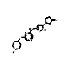 CN1CCC(Oc2cncc(Nc3cc([C@H]4CCC(=O)C4)[nH]n3)n2)CC1